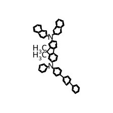 CC1(C)c2cc(N(c3ccccc3)c3ccc(-c4ccc(-c5ccccc5)cc4)cc3)ccc2-c2ccc(N(c3ccc4ccccc4c3)c3ccc4ccccc4c3)cc21